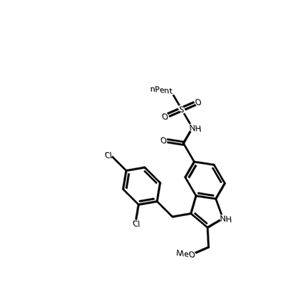 CCCCCS(=O)(=O)NC(=O)c1ccc2[nH]c(COC)c(Cc3ccc(Cl)cc3Cl)c2c1